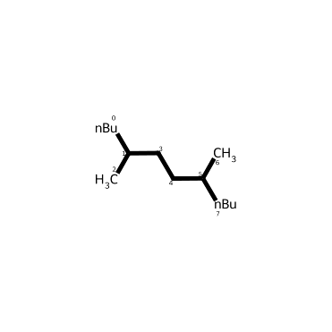 CCCCC(C)CCC(C)CCCC